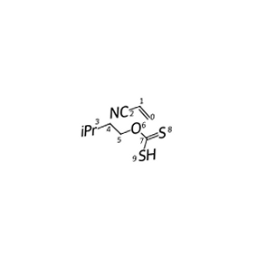 C=CC#N.CC(C)CCOC(=S)S